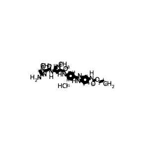 C=CCOC(=O)Nc1ccc2[nH]c(-c3ccc(NC(=O)c4cc(NC(=O)c5nc(N)cn5C)cn4C)cc3)nc2c1.Cl